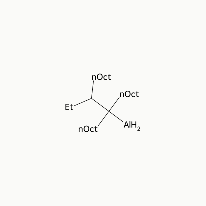 CCCCCCCCC(CC)[C]([AlH2])(CCCCCCCC)CCCCCCCC